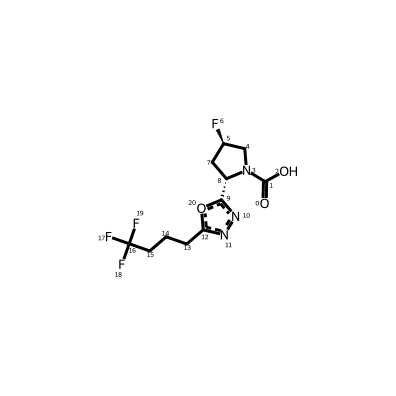 O=C(O)N1C[C@H](F)C[C@H]1c1nnc(CCCC(F)(F)F)o1